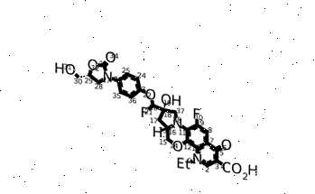 CCn1cc(C(=O)O)c(=O)c2cc(F)c3c(c21)OC[C@@H]1C[C@@](O)(C(F)Oc2ccc(N4C[C@H](CO)OC4=O)cc2)CN31